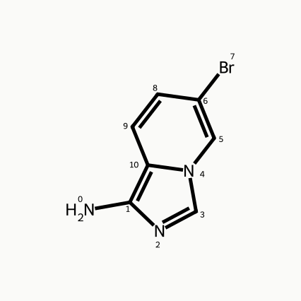 Nc1ncn2cc(Br)ccc12